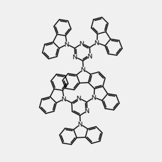 c1ccc2c(c1)c1ccccc1n2-c1cc(-n2c3ccccc3c3ccccc32)nc(-n2c3ccccc3c3ccc4c(c5ccccc5n4-c4nc(-n5c6ccccc6c6ccccc65)nc(-n5c6ccccc6c6ccccc65)n4)c32)n1